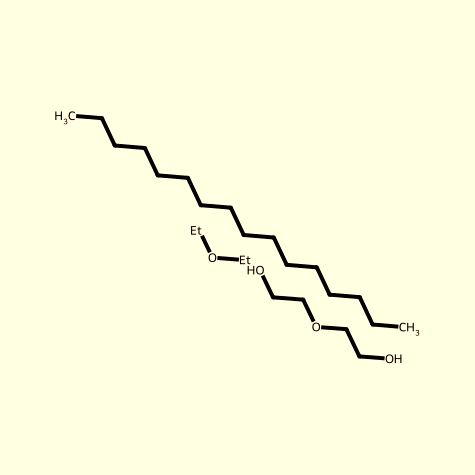 CCCCCCCCCCCCCCCC.CCOCC.OCCOCCO